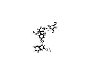 Cc1cc(COc2ccc(C3(C)CCN(CC[C@@H]4NC(=O)NC4=O)C3=O)cc2)c2ccccc2n1